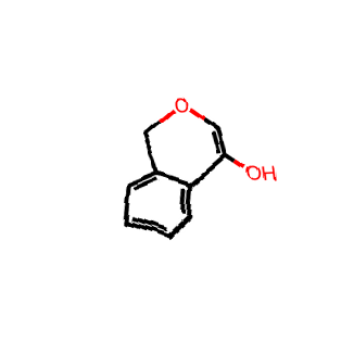 OC1=COCc2ccccc21